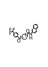 O=C(Nc1ccc2ccccc2c1)N1CCCN(C(=O)c2ccc(C(F)(F)F)cc2)CC1